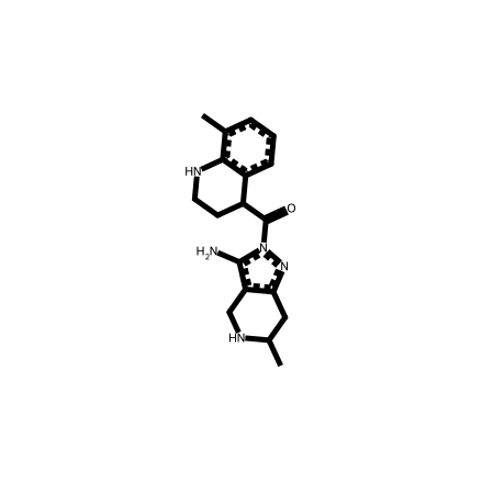 Cc1cccc2c1NCCC2C(=O)n1nc2c(c1N)CNC(C)C2